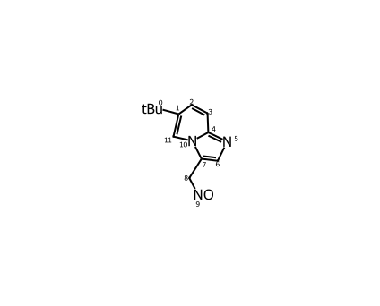 CC(C)(C)c1ccc2ncc(CN=O)n2c1